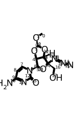 CO[C@@H]1OC2[C@H](n3ccc(N)nc3=O)O[C@@](CO)(N=[N+]=[N-])[C@H]2O1